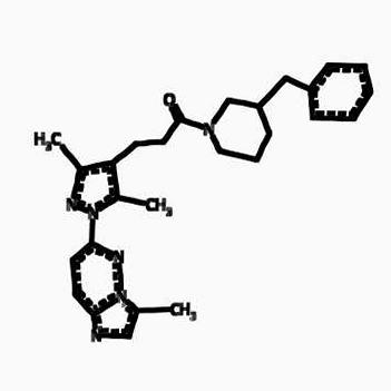 Cc1nn(-c2ccc3ncc(C)n3n2)c(C)c1CCC(=O)N1CCCC(Cc2ccccc2)C1